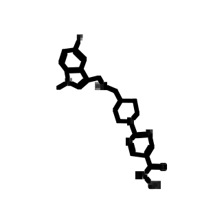 Cn1cc(CNCC2CCN(c3ncc(C(=O)NO)cn3)CC2)c2cc(F)ccc21